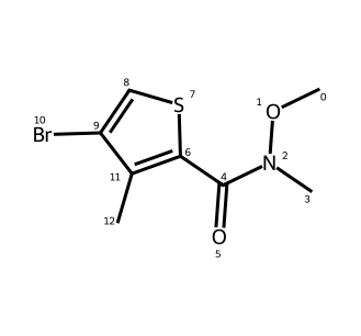 CON(C)C(=O)c1scc(Br)c1C